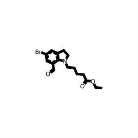 CCOC(=O)CCCCN1CCc2cc(Br)cc(C=O)c21